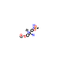 N#Cc1c(-c2ccc(NS(=O)(=O)C3CC3)cc2)n(C2CCC2)c2cc(OC[C@H]3CCCO3)ccc12